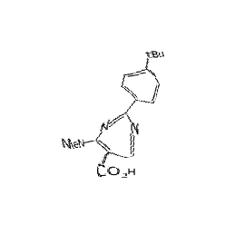 CNc1nc(-c2ccc(C(C)(C)C)cc2)ncc1C(=O)O